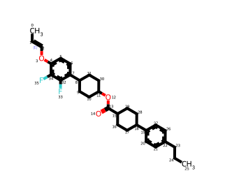 C/C=C/Oc1ccc(C2CCC(OC(=O)C3CCC(c4ccc(CCC)cc4)CC3)CC2)c(F)c1F